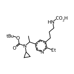 CCc1ncc(C(C)N(C(=O)OC(C)(C)C)C2CC2)cc1CCCNC(=O)O